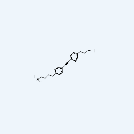 CCCCc1ccc(C#Cc2ccc(CCCCC(F)(F)F)cc2)cc1